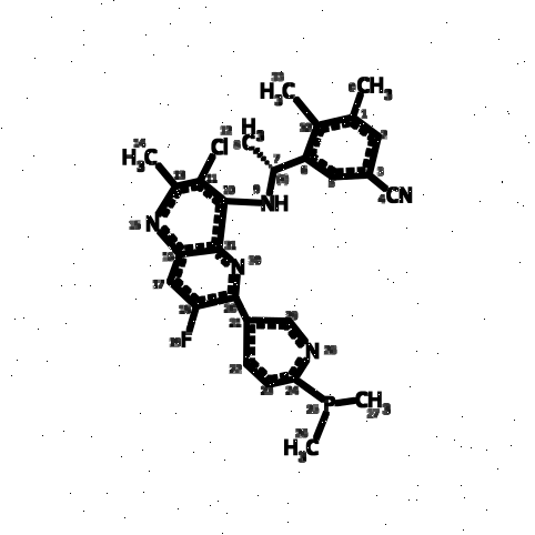 Cc1cc(C#N)cc([C@@H](C)Nc2c(Cl)c(C)nc3cc(F)c(-c4ccc(P(C)C)nc4)nc23)c1C